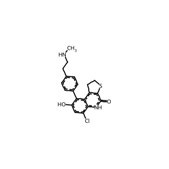 CNCCc1ccc(-c2c(O)cc(Cl)c3[nH]c(=O)c4c(c23)CCS4)cc1